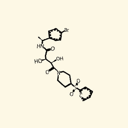 C[C@H](NC(=O)[C@H](O)[C@@H](O)C(=O)N1CCC(S(=O)(=O)c2ccccc2)CC1)c1ccc(Br)cc1